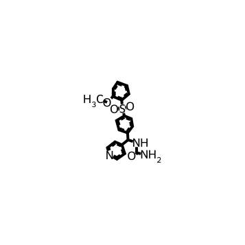 COc1ccccc1S(=O)(=O)c1ccc(C(NC(N)=O)c2ccncc2)cc1